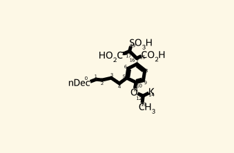 CCCCCCCCCCCCCCc1ccccc1O[CH](C)[K].O=C(O)CC(C(=O)O)S(=O)(=O)O